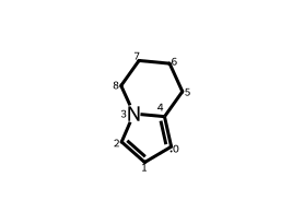 [c]1ccn2c1CCCC2